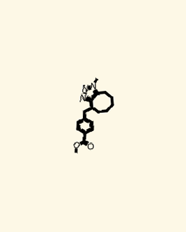 COC(=O)c1ccc(CC2CCCCCc3c2nnn3C)cc1